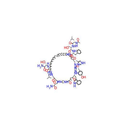 CC(=O)N[C@@H](CC(C)C)C(=O)N[C@H](C(=O)N[C@@H](Cc1ccccc1)C(=O)N[C@]1(C)CCCCCCCCCCC[C@@](C)(C(=O)N[C@@H](CO)C(N)=O)NN[C@@H](CC(C)C)C(=O)C(=O)[C@H](CCC(N)=O)NCN[C@@H](C)C(=O)CC(=O)[C@H](Cc2c[nH]c3ccccc23)NN[C@@H](Cc2ccc(O)cc2)C(=O)N[C@@H](Cc2c[nH]cn2)C(=O)CC1=O)[C@@H](C)O